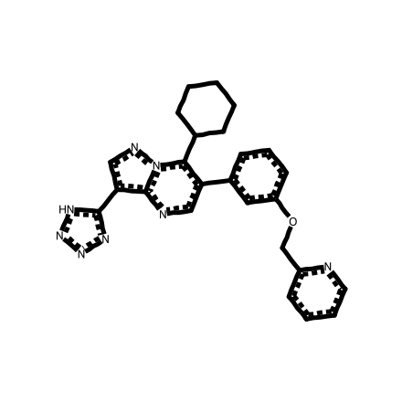 c1ccc(COc2cccc(-c3cnc4c(-c5nnn[nH]5)cnn4c3C3CCCCC3)c2)nc1